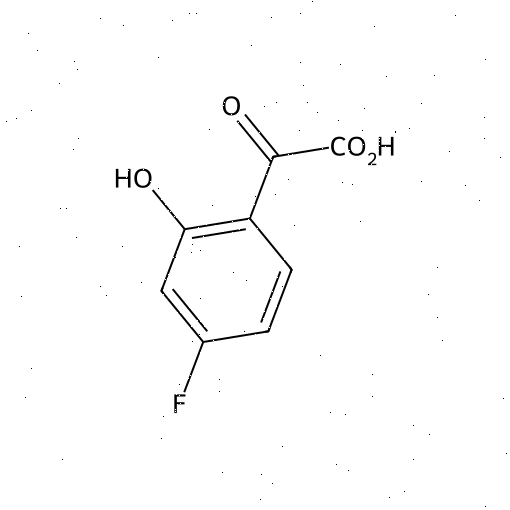 O=C(O)C(=O)c1ccc(F)cc1O